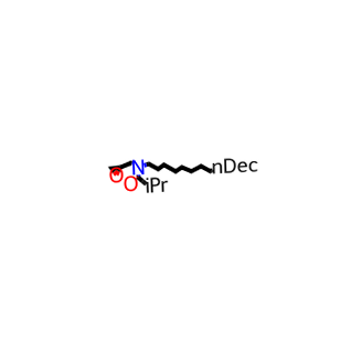 CCCCCCCCCCCCCCCCCCN(CC1CO1)C(=O)C(C)C